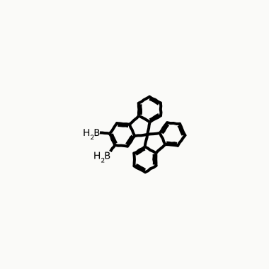 Bc1cc2c(cc1B)C1(c3ccccc3-c3ccccc31)c1ccccc1-2